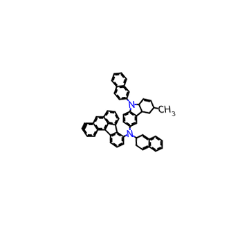 CC1C=CC2C(C1)c1cc(N(c3cccc4c3-c3cccc5cc6c#cccc6c-4c35)C3C=c4ccccc4=CC3)ccc1N2c1ccc2ccccc2c1